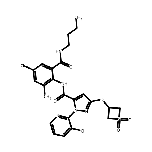 CCCCNC(=O)c1cc(Cl)cc(C)c1NC(=O)c1cc(OC2CS(=O)(=O)C2)nn1-c1ncccc1Cl